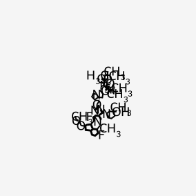 CCc1c(F)ccc2cc(OCOC)cc(-c3ncc4c(N5CCC[C@@](C)(O)C5)nc(OC[C@]56CCCN5[C@H](CN(C(=O)OC(C)(C)C)S(=O)(=O)N(C)C)CC6)nc4c3F)c12